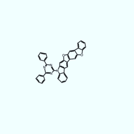 c1ccc(-c2nc(-c3ccccc3)nc(-n3c4ccccc4c4cc5c(cc43)oc3cc4c(cc35)oc3ccccc34)n2)cc1